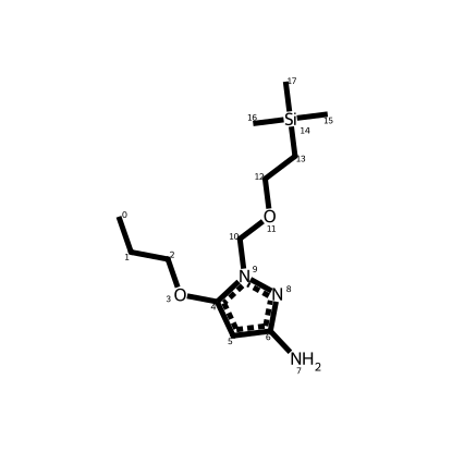 CCCOc1cc(N)nn1COCC[Si](C)(C)C